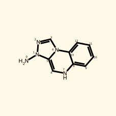 NN1N=CN2C1=CNc1ccccc12